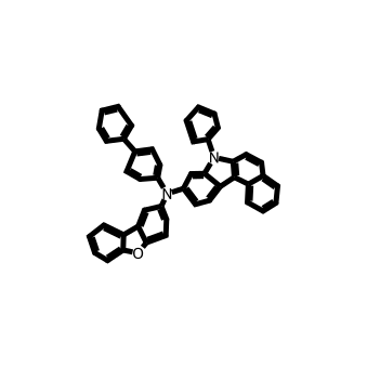 c1ccc(-c2ccc(N(c3ccc4oc5ccccc5c4c3)c3ccc4c5c6ccccc6ccc5n(-c5ccccc5)c4c3)cc2)cc1